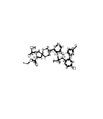 CCOC(=O)[C@@H]1CC2(CCN(c3cc(O[C@H](c4ccc(Cl)cc4-n4ccc(C)n4)C(F)(F)F)cnn3)CC2)CN1C(=O)O